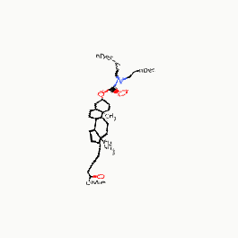 CCCCCCCCCCCCN(CCCCCCCCCCCC)C(=O)O[C@@H]1CC[C@@]2(C)C(CCC3C2CC[C@]2(C)C(CCC(=O)OC)CCC32)C1